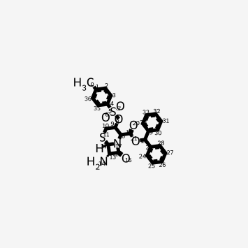 Cc1ccc(S(=O)(=O)OC2CS[C@H]3[C@H](N)C(=O)N3C2C(=O)OC(c2ccccc2)c2ccccc2)cc1